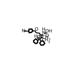 CC(C)(C)[Si](OC(CCC(=O)c1ccc(C#N)cc1)CNC(=O)O)(c1ccccc1)c1ccccc1